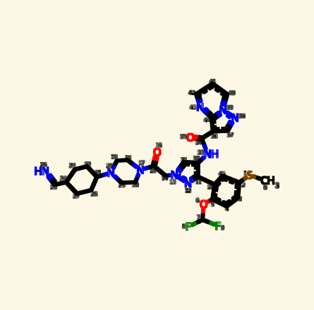 CSc1ccc(OC(F)F)c(-c2nn(CC(=O)N3CCN(C4CCC(C=N)CC4)CC3)cc2NC(=O)c2cnn3cccnc23)c1